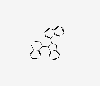 c1ccc2c(c1)CC(c1cccc3ccccc13)[C]2C1CCCc2ccccc21